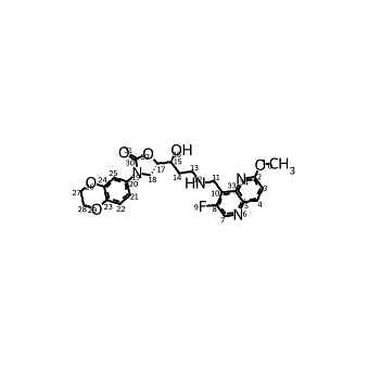 COc1ccc2ncc(F)c(CNCC[C@H](O)[C@@H]3CN(c4ccc5c(c4)OCCO5)C(=O)O3)c2n1